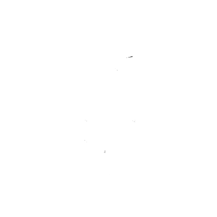 COC(=O)[C@@H]1CCCN1CCOc1cc2ncnc(N[C@H](C)c3ccccc3)c2cc1N